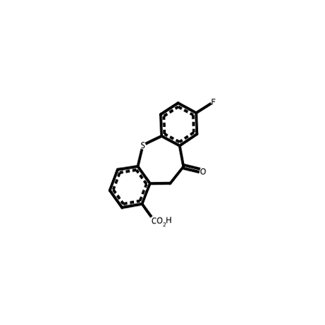 O=C1Cc2c(cccc2C(=O)O)Sc2ccc(F)cc21